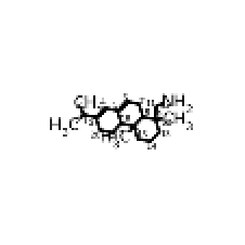 CC(C)C1=CC2=CCC3C(C)(CN)CCCC3(C)C2CC1